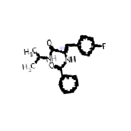 CC(C)NC(=O)/C(=C/c1ccc(F)cc1)NC(=O)c1ccccc1